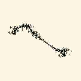 Cc1cccc([C@H](C)n2cc(-c3ccc(C(=O)NCCOCCOCCOCCOCCOCCOCCOCCNC(=O)CCNC(=O)c4nc(NC(=O)CCNC(=O)c5cc(NC(=O)c6cc(NC(=O)CCNC(=O)c7cc(NC(=O)c8nccn8C)cn7C)cn6C)cn5C)cn4C)cc3)c3ncc(-c4c(C)noc4C)cc32)n1